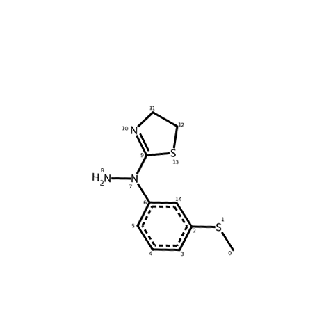 CSc1cccc(N(N)C2=NCCS2)c1